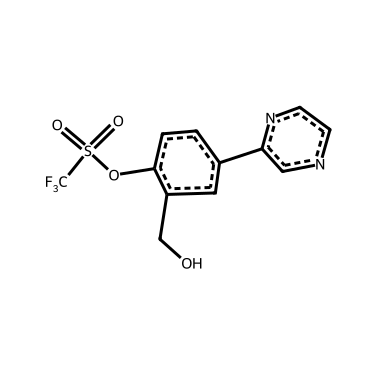 O=S(=O)(Oc1ccc(-c2cnccn2)cc1CO)C(F)(F)F